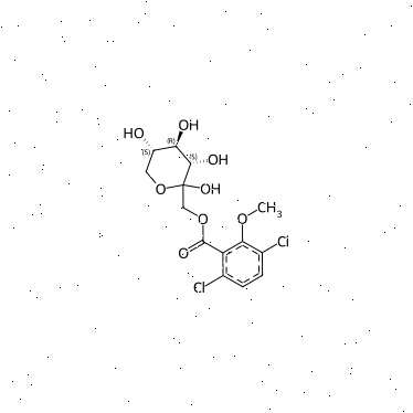 COc1c(Cl)ccc(Cl)c1C(=O)OCC1(O)OC[C@H](O)[C@@H](O)[C@@H]1O